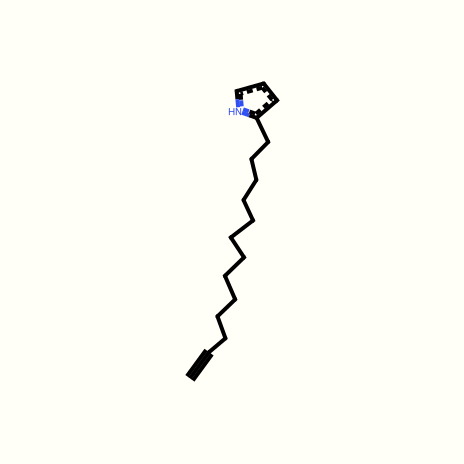 C#CCCCCCCCCCCCc1ccc[nH]1